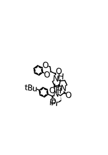 CC(C)C[C@H](NC(=O)c1ccc(C(C)(C)C)cc1)C(=O)N1CC[C@@H]2[C@H]1C(=O)CN2C(=O)C1COc2ccccc2O1